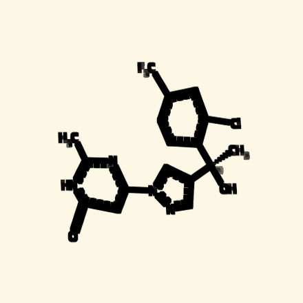 Cc1nc(-n2cc([C@](C)(O)c3ccc(C(F)(F)F)cc3Cl)cn2)cc(=O)[nH]1